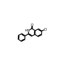 O=c1[nH]c(-c2ccccc2)cc2ccc(Cl)cc12